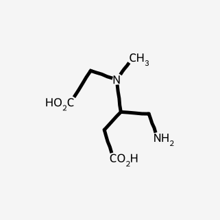 CN(CC(=O)O)C(CN)CC(=O)O